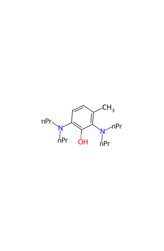 CCCN(CCC)c1ccc(C)c(N(CCC)CCC)c1O